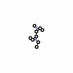 c1ccc(-c2cccc(-n3c4ccc(-c5ccc6c(c5)c5c7ccccc7ccc5n6-c5ccccc5)cc4c4c5ccccc5ccc43)c2)cc1